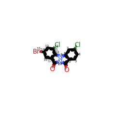 O=c1c2ccc(Cl)cc2n2c3c(Cl)cc(Br)cc3c(=O)n12